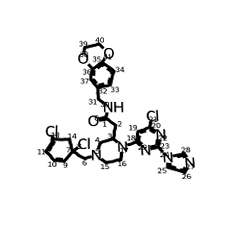 O=C(CC1CN(CC2(Cl)C=CC=C(Cl)C2)CCN1c1cc(Cl)nc(-n2ccnc2)n1)NCc1ccc2c(c1)OCCO2